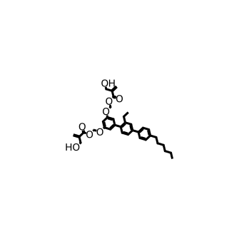 C=C(CO)C(=O)OCOc1cc(OCOC(=O)C(=C)CO)cc(-c2ccc(-c3ccc(CCCCCC)cc3)cc2CC)c1